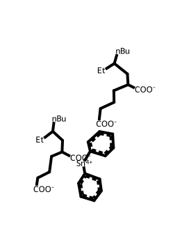 CCCCC(CC)CC(CCCC(=O)[O-])C(=O)[O-].CCCCC(CC)CC(CCCC(=O)[O-])C(=O)[O-].c1cc[c]([Sn+4][c]2ccccc2)cc1